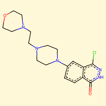 O=c1[nH]nc(Cl)c2cc(N3CCN(CCN4CCOCC4)CC3)ccc12